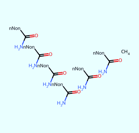 C.CCCCCCCCCC(N)=O.CCCCCCCCCC(N)=O.CCCCCCCCCC(N)=O.CCCCCCCCCC(N)=O.CCCCCCCCCC(N)=O.CCCCCCCCCC(N)=O